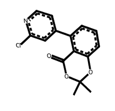 CC1(C)OC(=O)c2c(cccc2-c2ccnc(Cl)c2)O1